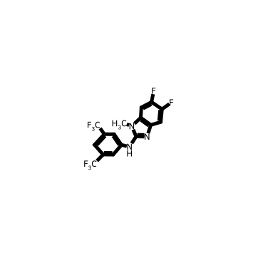 Cn1c(Nc2cc(C(F)(F)F)cc(C(F)(F)F)c2)nc2cc(F)c(F)cc21